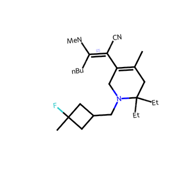 CCCC/C(NC)=C(/C#N)C1=C(C)CC(CC)(CC)N(CC2CC(C)(F)C2)C1